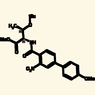 COC(=O)[C@@H](NC(=O)c1ccc(-c2ccc(OC)cc2)cc1[N+](=O)[O-])[C@@H](C)OC(C)(C)C